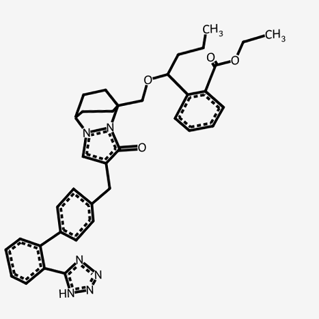 CCCC(OCC12CCC(CC1)n1cc(Cc3ccc(-c4ccccc4-c4nnn[nH]4)cc3)c(=O)n12)c1ccccc1C(=O)OCC